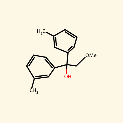 COCC(O)(c1cccc(C)c1)c1cccc(C)c1